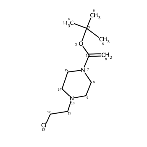 C=C(OC(C)(C)C)N1CCN(CCCl)CC1